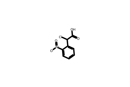 O=C(O)C(Cl)c1ccccc1[N+](=O)[O-]